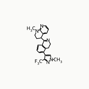 CN1CCC(C2=NCCc3c2cccc3-c2cn(C)nc2C(F)(F)F)c2cccnc21